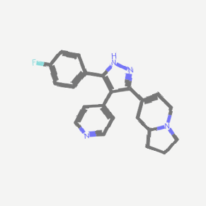 Fc1ccc(-c2[nH]nc(C3=CCN4CCCC4C3)c2-c2ccncc2)cc1